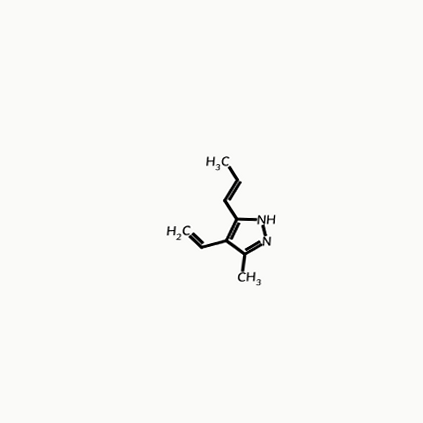 C=Cc1c(C)n[nH]c1/C=C/C